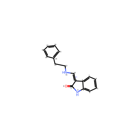 O=C1Nc2ccccc2/C1=C/NCCc1ccccc1